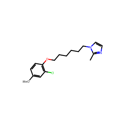 COc1ccc(OCCCCCCn2ccnc2C)c(Cl)c1